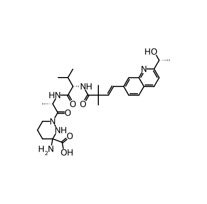 CC(C)[C@H](NC(=O)C(C)(C)/C=C/c1ccc2ccc([C@@H](C)O)nc2c1)C(=O)N[C@@H](C)C(=O)N1CCCC(N)(C(=O)O)N1